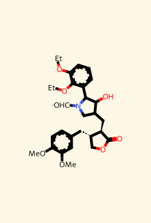 CCOc1cccc(C2C(O)C(C[C@H]3C(=O)OC[C@@H]3Cc3ccc(OC)c(OC)c3)CN2[C]=O)c1OCC